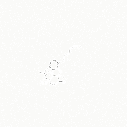 CN1CC[C@]23c4c5ccc(OCCCC(=O)O)c4O[C@H]2C(=O)CC[C@@]3(O)[C@H]1C5